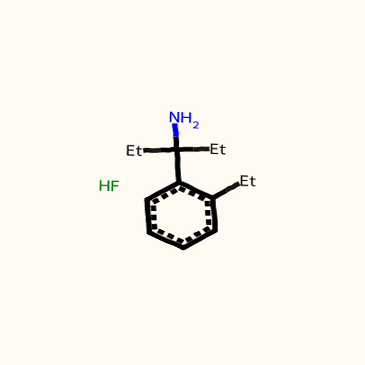 CCc1ccccc1C(N)(CC)CC.F